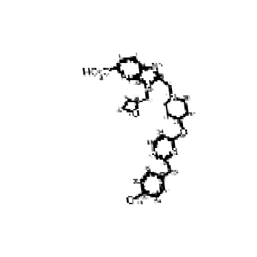 O=C(O)c1ccc2nc(CN3CCC(Oc4ccnc(Cc5ccc(Cl)cc5)n4)CC3)n(C[C@@H]3CCO3)c2n1